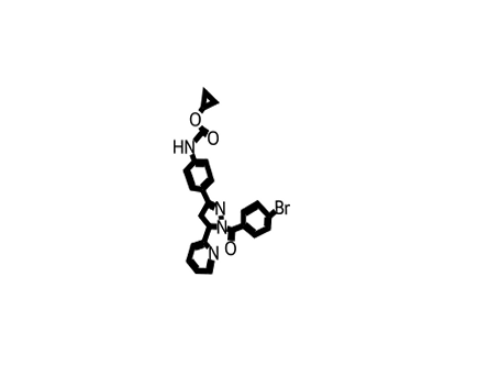 O=C(Nc1ccc(C2=NN(C(=O)c3ccc(Br)cc3)C(c3ccccn3)C2)cc1)OC1CC1